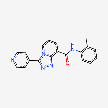 Cc1ccccc1NC(=O)c1cccn2c(-c3ccncc3)nnc12